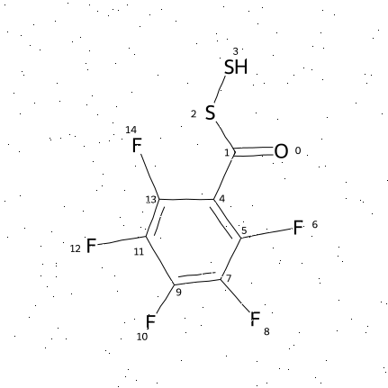 O=C(SS)c1c(F)c(F)c(F)c(F)c1F